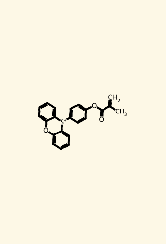 C=C(C)C(=O)Oc1ccc([S+]2c3ccccc3Oc3ccccc32)cc1